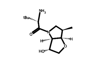 C[C@@H]1CN(C(=O)[C@@H](N)C(C)(C)C)[C@H]2[C@@H]1OC[C@@H]2O